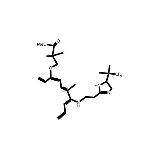 C=C/C=C(NCCC1=NCC(C(C)(C)C(F)(F)F)N1)/C(C)=C/C=C(\C=C)OCC(C)(C)C(=O)OC